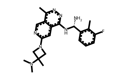 Cc1c(F)cccc1[C@@H](N)Nc1nnc(C)c2cnc(N3CC(C)(N(C)C)C3)cc12